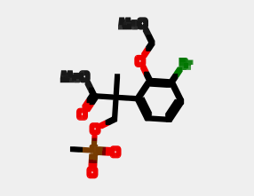 COCOc1c(Br)cccc1C(C)(COS(C)(=O)=O)C(=O)OC